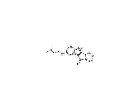 CN(C)CCOc1ccc2[nH]c3c(c2c1)C(=O)c1ccccc1-3